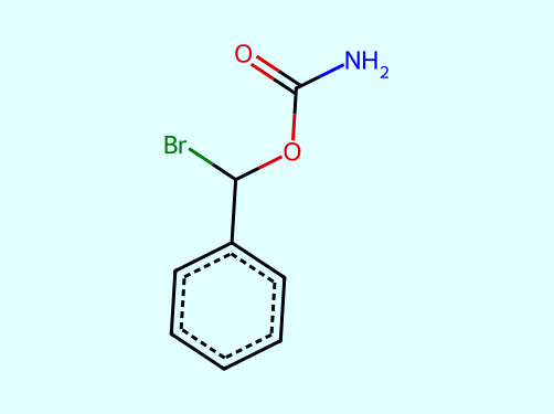 NC(=O)OC(Br)c1ccccc1